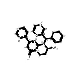 CC1CCn2c(nc(-c3ccncn3)cc2=O)N1C(C1=CC=CCC1)C1=COC=CO1